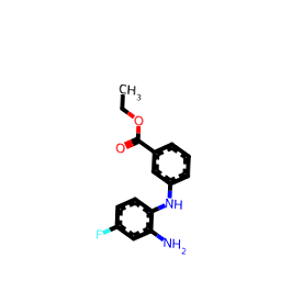 CCOC(=O)c1cccc(Nc2ccc(F)cc2N)c1